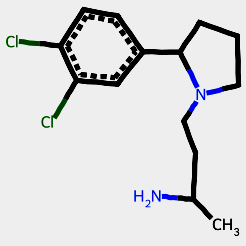 CC(N)CCN1CCCC1c1ccc(Cl)c(Cl)c1